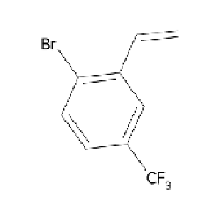 C=Cc1cc(C(F)(F)F)ccc1Br